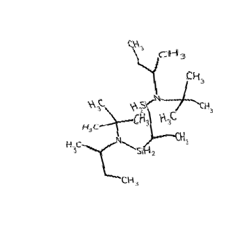 CCC(C)N([SiH2]C(C)[SiH2]N(C(C)CC)C(C)(C)C)C(C)(C)C